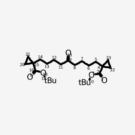 CC(C)(C)OC(=O)C1(CCCCC(=O)CCCCC2(C(=O)OC(C)(C)C)CC2)CC1